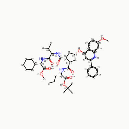 CCC[C@H](NC(=O)[C@@H]1C[C@@H](Oc2cc(-c3ccccc3)nc3cc(OC)ccc23)C[C@H]1C(=O)NC(C(=O)NC(C(=O)OC)C1CCCCC1)C(C)C)C(=O)OC(C)(C)C